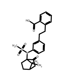 CC1(C)C2CCC1(N(c1cccc(CCc3ccccc3C(=O)O)c1)S(C)(=O)=O)C(=O)C2